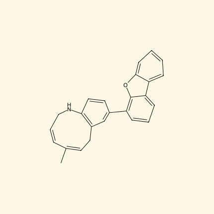 CC1=C/Cc2cc(-c3cccc4c3oc3ccccc34)ccc2NC/C=C\1